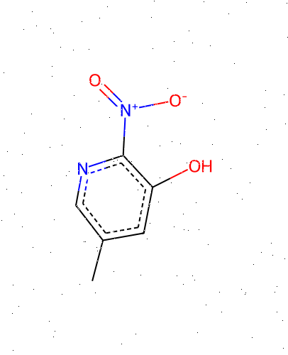 Cc1cnc([N+](=O)[O-])c(O)c1